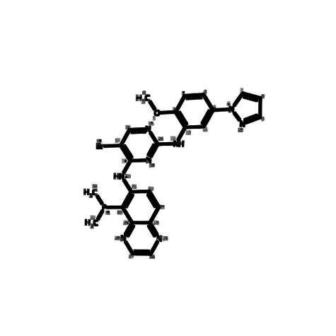 COc1ccc(-n2cccn2)cc1Nc1ncc(Br)c(Nc2ccc3nccnc3c2P(C)C)n1